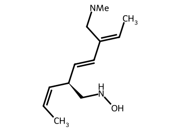 C/C=C\[C@@H](/C=C/C(=C/C)CNC)CNO